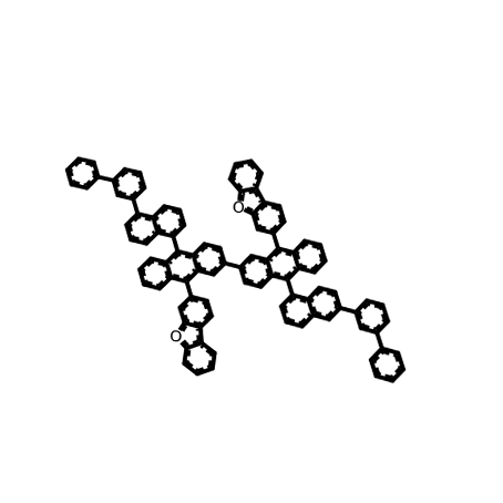 c1ccc(-c2cccc(-c3ccc4c(-c5c6ccccc6c(-c6ccc7c(c6)oc6ccccc67)c6cc(-c7ccc8c(-c9cccc%10c(-c%11cccc(-c%12ccccc%12)c%11)cccc9%10)c9ccccc9c(-c9ccc%10c(c9)oc9ccccc9%10)c8c7)ccc56)cccc4c3)c2)cc1